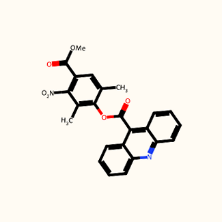 COC(=O)c1cc(C)c(OC(=O)c2c3ccccc3nc3ccccc23)c(C)c1[N+](=O)[O-]